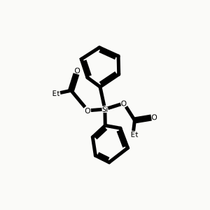 CCC(=O)O[Si](OC(=O)CC)(c1ccccc1)c1ccccc1